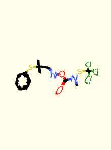 CN(SC(Cl)(Cl)Cl)C(=O)ON=CC(C)(C)Sc1ccccc1